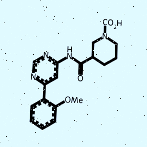 COc1ccccc1-c1cc(NC(=O)C2CCCN(C(=O)O)C2)ncn1